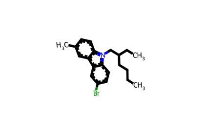 CCCCC(CC)Cn1c2ccc(C)cc2c2cc(Br)ccc21